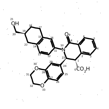 O=C(O)[C@H]1c2ccccc2C(=O)N(c2ccc3c(c2)CC[C@H](CO)C3)[C@@H]1c1ccc2c(c1)OCCO2